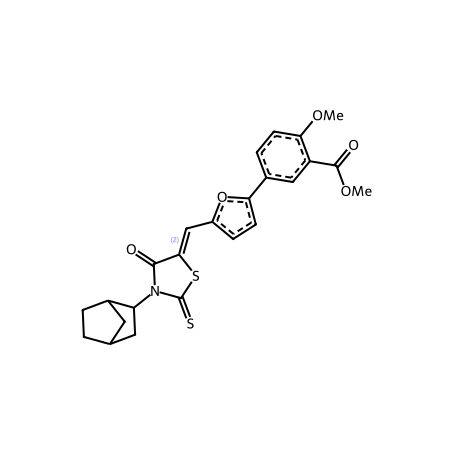 COC(=O)c1cc(-c2ccc(/C=C3\SC(=S)N(C4CC5CCC4C5)C3=O)o2)ccc1OC